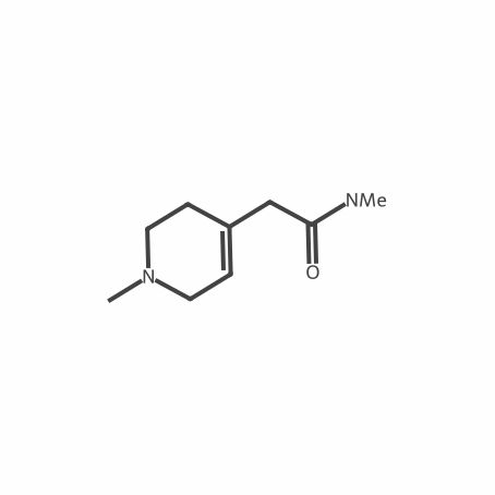 CNC(=O)CC1=CCN(C)CC1